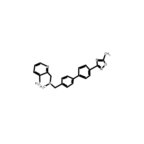 Cc1nc(-c2ccc(-c3ccc(CN(C)Cc4ncccc4C)cc3)cc2)no1